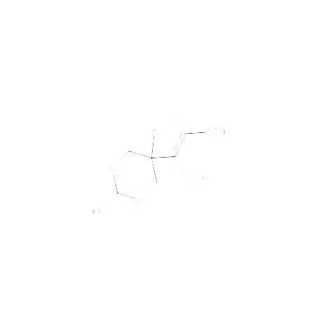 CCC1(C(C(=O)O)=C(C)C(=O)O)COC(C(C)C)OC1